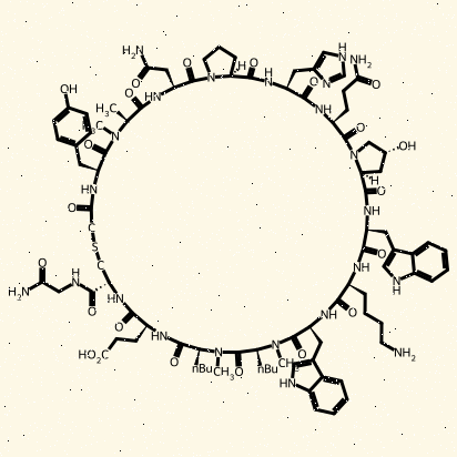 CCCC[C@H]1C(=O)N(C)[C@@H](CCCC)C(=O)N[C@@H](CCC(=O)O)C(=O)N[C@H](C(=O)NCC(N)=O)CSCC(=O)N[C@@H](Cc2ccc(O)cc2)C(=O)N(C)[C@@H](C)C(=O)N[C@@H](CC(N)=O)C(=O)N2CCC[C@H]2C(=O)N[C@@H](Cc2c[nH]cn2)C(=O)N[C@@H](CCC(N)=O)C(=O)N2C[C@H](O)C[C@H]2C(=O)N[C@@H](Cc2c[nH]c3ccccc23)C(=O)N[C@@H](CCCCN)C(=O)N[C@@H](Cc2c[nH]c3ccccc23)C(=O)N1C